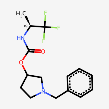 C[C@H](NC(=O)OC1CCN(Cc2ccccc2)C1)C(F)(F)F